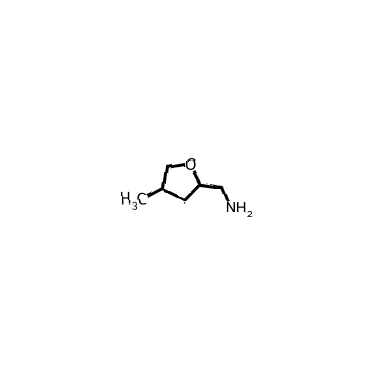 CC1[CH]C(CN)OC1